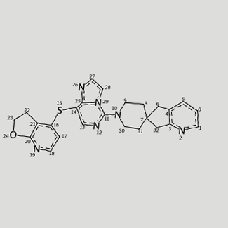 c1cnc2c(c1)CC1(CCN(c3ncc(Sc4ccnc5c4CCO5)c4nccn34)CC1)C2